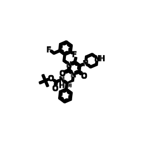 Cc1c(N2CCNCC2)c(=O)n(C[C@H](NC(=O)OC(C)(C)C)c2ccccc2)c(=O)n1Cc1c(F)cccc1CF